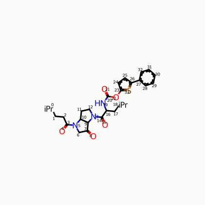 CC(C)CCC(=O)N1CC(=O)C2C1CCN2C(=O)C(CC(C)C)NC(=O)Oc1ccc(-c2ccccc2)s1